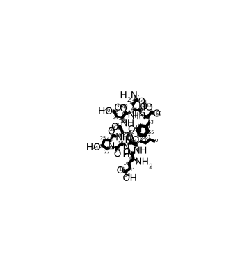 CCCC[C@H](NC(=O)[C@@H](N)CCC(=O)O)C(=O)NCC(=O)N1C[C@H](O)C[C@H]1C(=O)N[C@@H](CO)C(=O)N[C@@H](CC(=O)O)C(=O)N[C@@H](CC(N)=O)C(=O)N[C@@H](Cc1ccc(O)cc1)C(=O)O